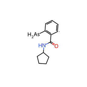 O=C(NC1CCCC1)c1[c]cccc1[AsH2]